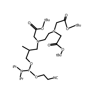 [C-]#[N+]CCOP(OCC(C)CN(CCN(CC(=O)OC(C)(C)C)CC(=O)OC(C)(C)C)CC(=O)OC(C)(C)C)N(C(C)C)C(C)C